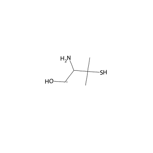 CC(C)(S)C(N)[C]O